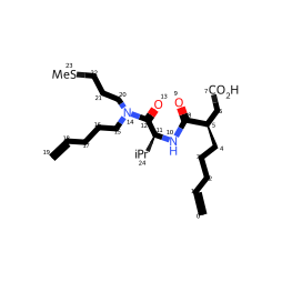 C=CCCC[C@H](CC(=O)O)C(=O)N[C@H](C(=O)N(CCCC=C)CCCSC)C(C)C